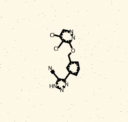 N#Cc1[nH]nnc1-c1cccc(COc2nncc(Cl)c2Cl)c1